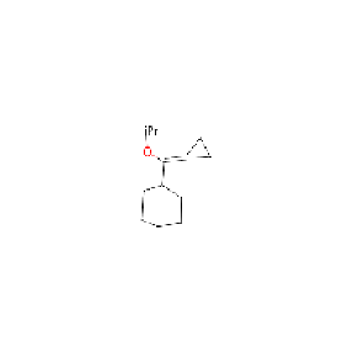 CC(C)OC(=C1CC1)C1CCCCC1